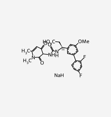 COc1cc(-c2ccc(F)cc2F)cc([C@H](CC(=O)O)NC(=O)NC2C(=O)C=C(C)N(C)C2=O)c1.[NaH]